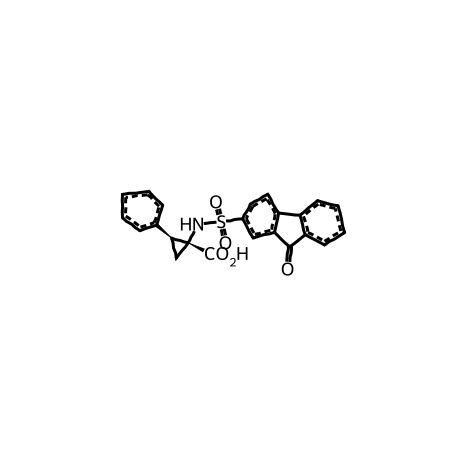 O=C1c2ccccc2-c2ccc(S(=O)(=O)N[C@]3(C(=O)O)C[C@H]3c3ccccc3)cc21